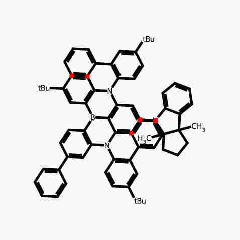 CC(C)(C)c1ccc2c(c1)B1c3ccc(-c4ccccc4)cc3N(c3ccc(C(C)(C)C)cc3-c3ccccc3)c3cc(N4c5ccccc5C5(C)CCCC45C)cc(c31)N2c1ccc(C(C)(C)C)cc1-c1ccccc1